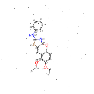 CCOc1cccc(C=C2SC(Nc3ccccc3)=NC2=O)c1OCC